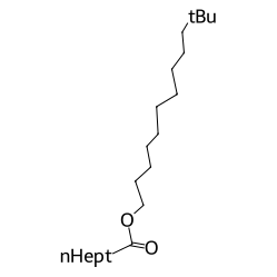 CCCCCCCC(=O)OCCCCCCCCCCC(C)(C)C